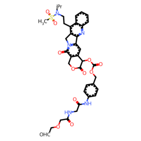 CC(C)N(CCc1c2c(nc3ccccc13)-c1cc3c(c(=O)n1C2)COC(=O)C3OC(=O)OCc1ccc(NC(=O)CNC(=O)COCC=O)cc1)S(C)(=O)=O